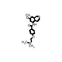 COc1cc(NC(=O)c2ccc(OCCN(C)C)cc2)c2ccncc2c1